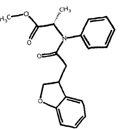 COC(=O)[C@H](C)N(C(=O)CC1COc2ccccc21)c1ccccc1